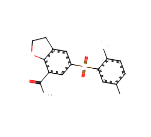 COC(=O)c1cc(S(=O)(=O)c2cc(C)ccc2OC)cc2c1OCC2